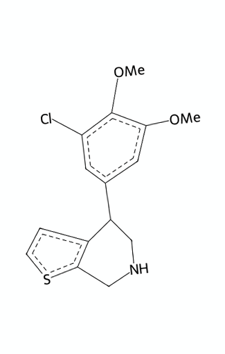 COc1cc(C2CNCc3sccc32)cc(Cl)c1OC